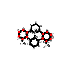 CCC(C)c1cccc(C(C)CC)c1-c1cccc(-c2c(C(C)CC)cccc2C(C)CC)c1P1C(c2ccccc2)CCCC1c1ccccc1